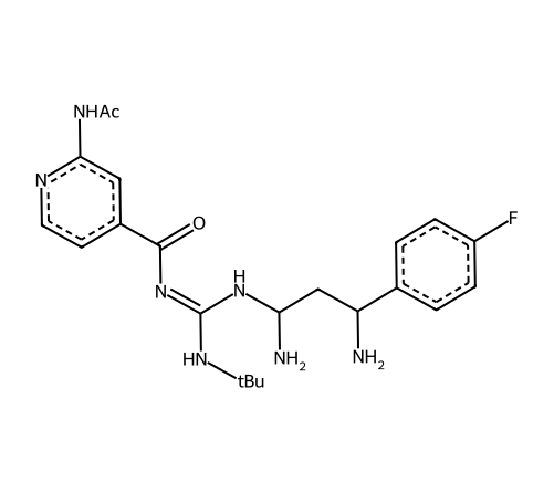 CC(=O)Nc1cc(C(=O)/N=C(\NC(N)CC(N)c2ccc(F)cc2)NC(C)(C)C)ccn1